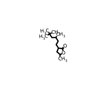 CC(CCC1CC(C)OC1=O)CC(C)(C)C